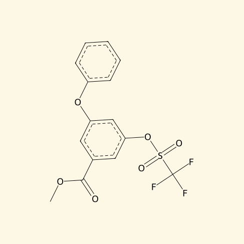 COC(=O)c1cc(Oc2ccccc2)cc(OS(=O)(=O)C(F)(F)F)c1